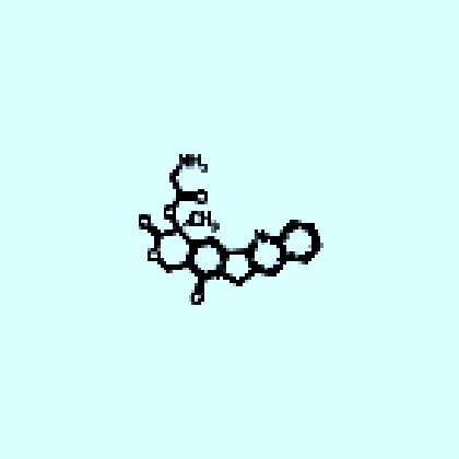 C[C@@]1(OC(=O)CN)C(=O)OCc2c1cc1n(c2=O)Cc2cc3ccccc3nc2-1